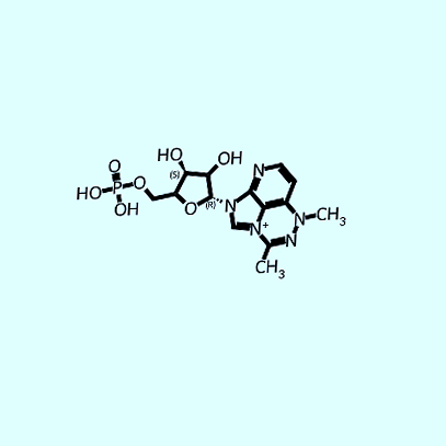 CC1=NN(C)c2ccnc3c2[n+]1cn3[C@@H]1OC(COP(=O)(O)O)[C@@H](O)C1O